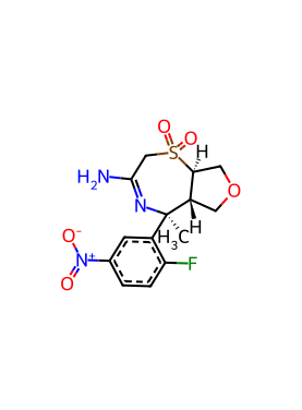 C[C@]1(c2cc([N+](=O)[O-])ccc2F)N=C(N)CS(=O)(=O)[C@H]2COC[C@@H]21